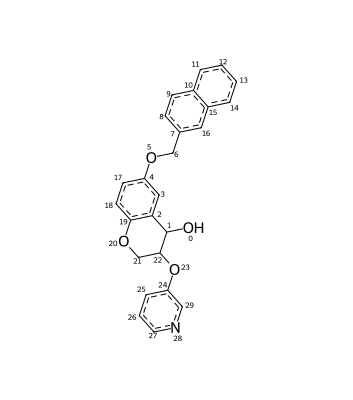 OC1c2cc(OCc3ccc4ccccc4c3)ccc2OCC1Oc1cccnc1